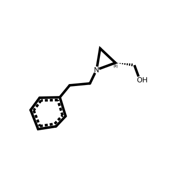 OC[C@H]1CN1CCc1ccccc1